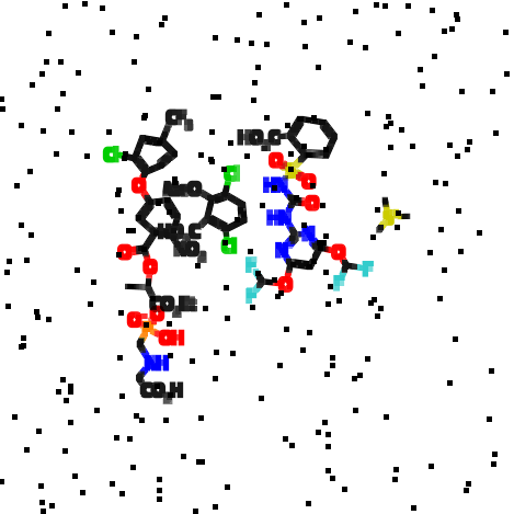 CCOC(=O)C(C)OC(=O)c1cc(Oc2ccc(C(F)(F)F)cc2Cl)ccc1[N+](=O)[O-].COc1c(Cl)ccc(Cl)c1C(=O)O.C[S+](C)C.O=C(Nc1nc(OC(F)F)cc(OC(F)F)n1)NS(=O)(=O)c1ccccc1C(=O)O.O=C(O)CNCP(=O)([O-])O